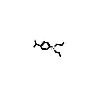 CCCN(CCC)c1ccc(C(C)C)cc1